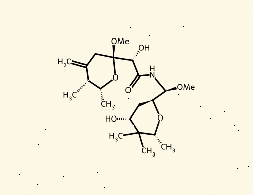 C=C1C[C@](OC)([C@H](O)C(=O)N[C@@H](OC)[C@@H]2C[C@@H](O)C(C)(C)[C@@H](C)O2)O[C@H](C)[C@@H]1C